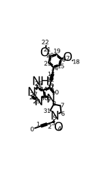 CC#CC(=O)N1CCC(n2cc(C#Cc3cc(OC)cc(OC)c3)c3c(N)ncnc32)C1